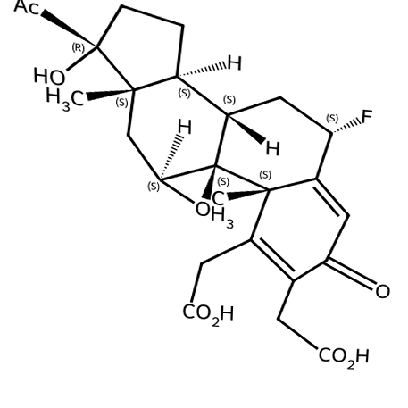 CC(=O)[C@@]1(O)CC[C@H]2[C@@H]3C[C@H](F)C4=CC(=O)C(CC(=O)O)=C(CC(=O)O)[C@]4(C)[C@@]34O[C@H]4C[C@@]21C